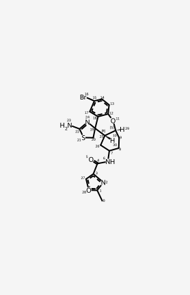 Cc1nc(C(=O)NC2CC[C@@H]3Oc4ccc(Br)cc4C4(CSC(N)=N4)[C@H]3C2)co1